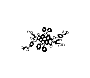 CCOCCC(C(=O)Oc1ccc(NCC2CO2)cc1)N1C(=O)c2cc(Oc3ccccc3)c3c4c(Oc5ccccc5)cc5c6c(cc(Oc7ccccc7)c(c7c(Oc8ccccc8)cc(c2c37)C1=O)c64)C(=O)N(C(CCOCC)C(=O)Oc1ccc(NCC2CO2)cc1)C5=O